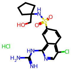 Cl.N=C(N)Nc1ncc(Cl)c2ccc(S(=O)(=O)NC3(CO)CCCC3)cc12